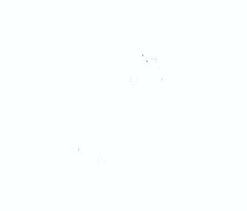 COc1ccc(-c2cccc(OC(N)=O)c2)cc1OC1CCCC1